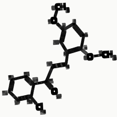 COc1ccc(OC)c(/C=C/C(=O)c2ccccc2Cl)c1